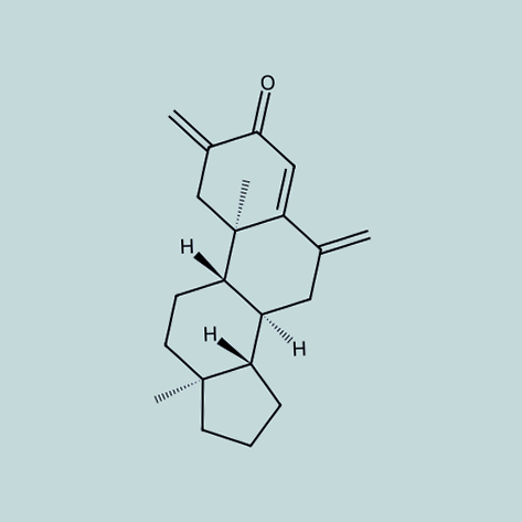 C=C1C[C@@]2(C)C(=CC1=O)C(=C)C[C@H]1[C@@H]3CCC[C@@]3(C)CC[C@@H]12